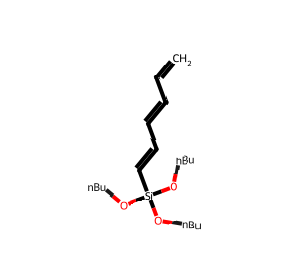 C=CC=CC=C[Si](OCCCC)(OCCCC)OCCCC